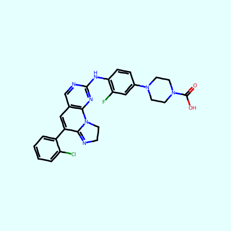 O=C(O)N1CCN(c2ccc(Nc3ncc4c(n3)N3CCN=C3C(c3ccccc3Cl)=C4)c(F)c2)CC1